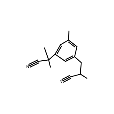 Cc1cc(CC(C)C#N)cc(C(C)(C)C#N)c1